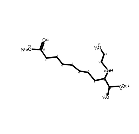 CCCCCCCCC(O)C(CCCCCCCC(=O)OC)NCCO